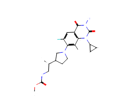 Cc1c(N2CCC([C@H](C)CNC(=O)OC(C)(C)C)C2)c(F)cc2c(=O)n(N)c(=O)n(C3CC3)c12